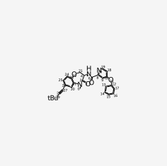 CN1C(=O)[C@H](NC(=O)c2cc(Oc3ccccc3)ccn2)COc2ccc(C#CC(C)(C)C)cc21